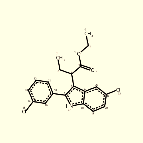 CCOC(=O)C(CC)c1c(-c2cccc(Cl)c2)[nH]c2ccc(Cl)cc12